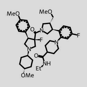 CCNC(=O)C1CCN(c2cc(F)ccc2[C@H]2CN(C(=O)[C@]3(F)CN([C@H]4CC[C@H](OC)CC4)C[C@H]3c3ccc(OC)cc3)C[C@@H]2COC)CC1